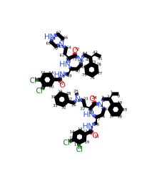 CC[C@H](CN1CC[C@@H](CNC(=O)c2ccc(Cl)c(Cl)c2)N[C@@H](CCN(C)Cc2ccccc2)C1=O)c1ccccc1.CC[C@H](CN1CC[C@@H](CNC(=O)c2ccc(Cl)c(Cl)c2)N[C@@H](CCN2CCNCC2)C1=O)c1ccccc1